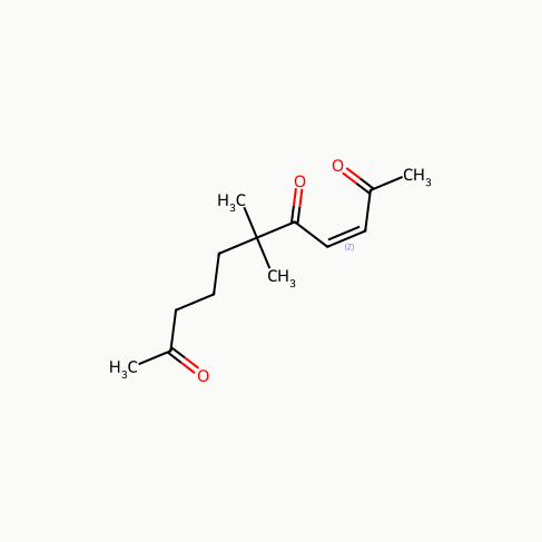 CC(=O)/C=C\C(=O)C(C)(C)CCCC(C)=O